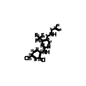 C=C(C)CNCc1cnc(Nc2ccc(Cl)cc2Cl)nc1C(F)(F)F